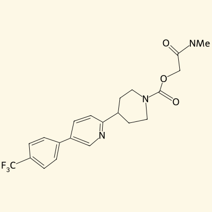 CNC(=O)COC(=O)N1CCC(c2ccc(-c3ccc(C(F)(F)F)cc3)cn2)CC1